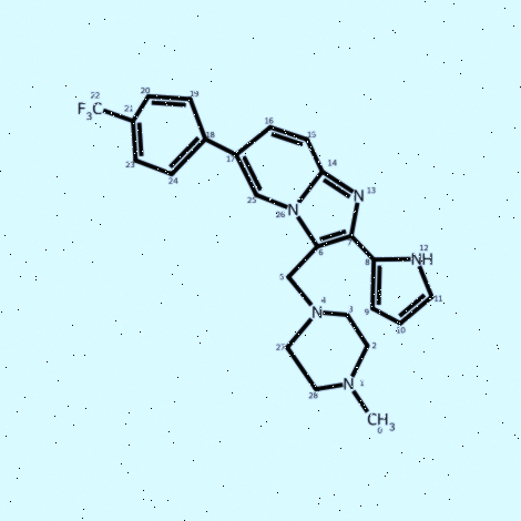 CN1CCN(Cc2c(-c3ccc[nH]3)nc3ccc(-c4ccc(C(F)(F)F)cc4)cn23)CC1